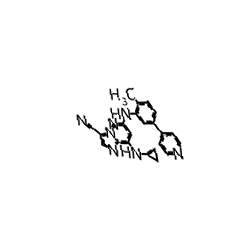 Cc1ccc(-c2ccncc2)cc1Nc1cc(NC2CC2)c2ncc(C#N)n2n1